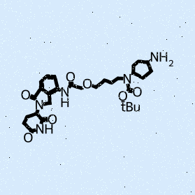 CC(C)(C)OC(=O)N(CCCCOCC(=O)Nc1cccc2c1CN(C1CCC(=O)NC1=O)C2=O)[C@H]1CC[C@@H](N)CC1